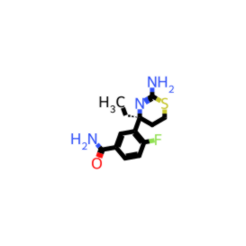 CC[C@@]1(c2cc(C(N)=O)ccc2F)CCSC(N)=N1